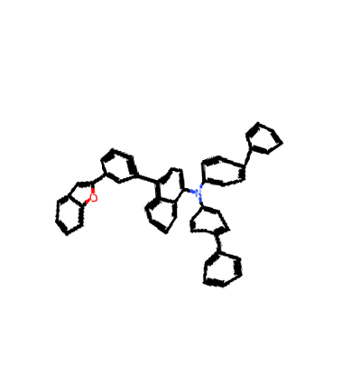 c1ccc(-c2ccc(N(c3ccc(-c4ccccc4)cc3)c3ccc(-c4cccc(-c5cc6ccccc6o5)c4)c4ccccc34)cc2)cc1